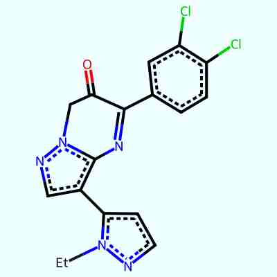 CCn1nccc1-c1cnn2c1N=C(c1ccc(Cl)c(Cl)c1)C(=O)C2